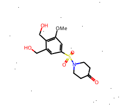 COc1cc(S(=O)(=O)N2CCC(=O)CC2)cc(CO)c1CO